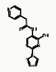 O=C(Cc1ccncc1)Nc1cnc(-n2cccn2)nc1O